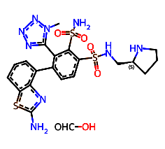 Cn1nnnc1-c1c(-c2cccc3sc(N)nc23)ccc(S(=O)(=O)NC[C@@H]2CCCN2)c1S(N)(=O)=O.O=CO